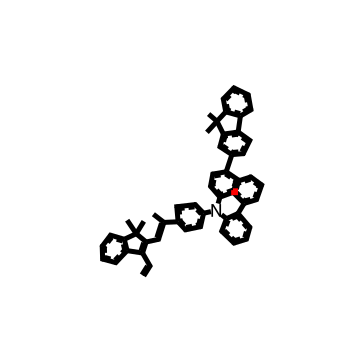 C=CC1=C(/C=C(\C)c2ccc(N(c3ccc(-c4ccc5c(c4)C(C)(C)c4ccccc4-5)cc3)c3ccccc3-c3ccccc3)cc2)C(C)(C)c2ccccc21